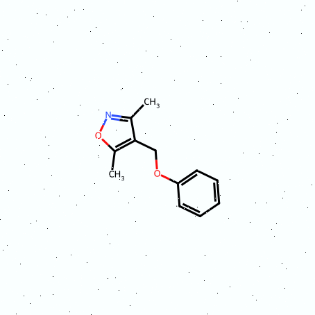 Cc1noc(C)c1COc1[c]cccc1